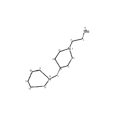 CC(C)(C)CCN1CCC(CN2CCCCC2)CC1